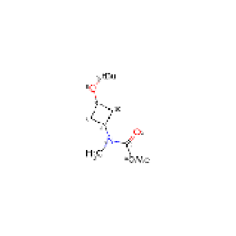 COC(=O)N(C)C1CC(OC(C)(C)C)C1